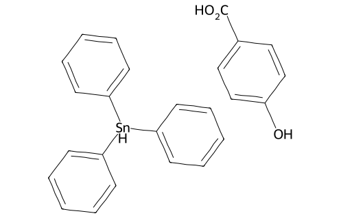 O=C(O)c1ccc(O)cc1.c1cc[c]([SnH]([c]2ccccc2)[c]2ccccc2)cc1